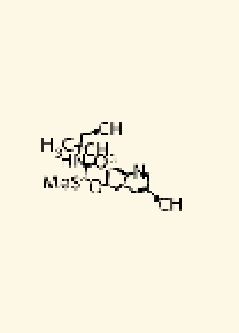 C#CCC(C)(C)NC(=O)C(Oc1ccc2ncc(C#C)cc2c1)SC